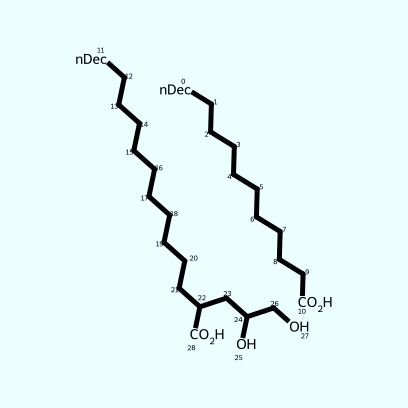 CCCCCCCCCCCCCCCCCCCC(=O)O.CCCCCCCCCCCCCCCCCCCCC(CC(O)CO)C(=O)O